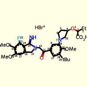 Br.CCC(OC1CCN(c2cc(C(=O)CN3Cc4cc(OC)c(OC)c(F)c4C3=N)cc(C(C)(C)C)c2OC)C1)C(=O)O